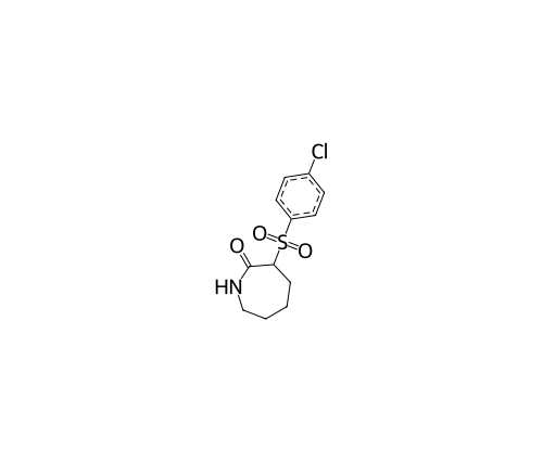 O=C1NCCCCC1S(=O)(=O)c1ccc(Cl)cc1